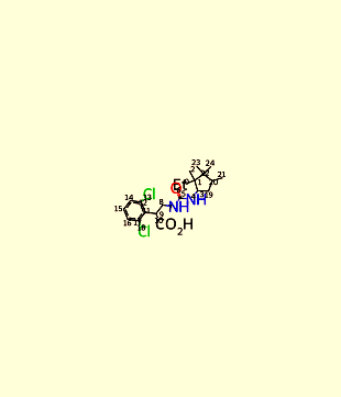 CCC1(C)C(NC(=O)NCC(C(=O)O)c2c(Cl)cccc2Cl)CC(C)C1(C)C